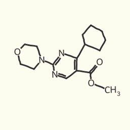 COC(=O)c1cnc(N2CCOCC2)nc1C1CCCCC1